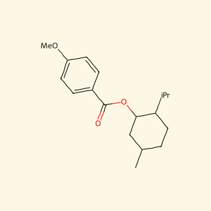 COc1ccc(C(=O)OC2CC(C)CCC2C(C)C)cc1